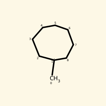 C[C]1CCCCCCC1